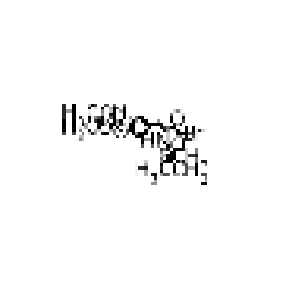 CC(C)(C)OC(=O)NC(Cc1ccc(OC(=O)OC(C)(C)C)cc1)C(=O)CBr